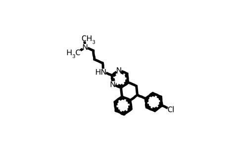 CN(C)CCCNc1ncc2c(n1)-c1ccccc1C(c1ccc(Cl)cc1)C2